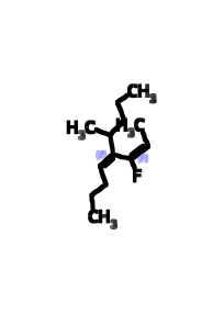 C/C=C(F)\C(=C/CCC)C(C)CCC